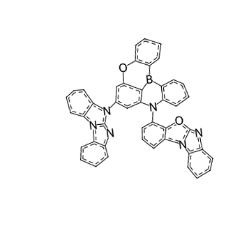 c1ccc2c(c1)Oc1cc(-n3c4ccccc4n4c5ccccc5nc34)cc3c1B2c1ccccc1N3c1cccc2c1oc1nc3ccccc3n12